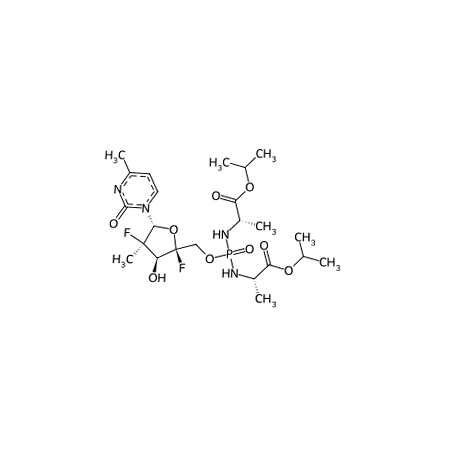 Cc1ccn([C@@H]2O[C@](F)(COP(=O)(N[C@@H](C)C(=O)OC(C)C)N[C@@H](C)C(=O)OC(C)C)[C@@H](O)[C@@]2(C)F)c(=O)n1